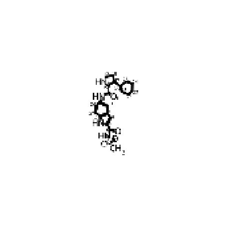 CS(=O)(=O)NC(=O)c1cc2cc(NC(=O)[C@H]3NCCC3C3CCCCC3)ccc2[nH]1